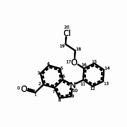 O=Cc1cccc2c1ccn2-c1ccccc1OCCCl